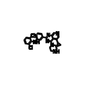 Clc1cccc(Cl)c1Nc1cc(-c2nc(N3CCNCC3)c3c(C4CC4)cncc3n2)ccn1